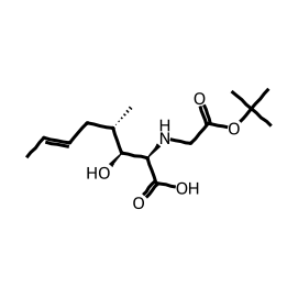 C/C=C/C[C@H](C)[C@H](O)[C@@H](NCC(=O)OC(C)(C)C)C(=O)O